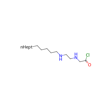 CCCCCCCCCCCCNCCNCC(=O)Cl